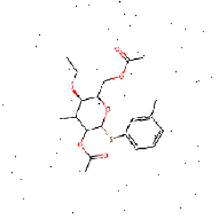 CCO[C@H]1C(COC(C)=O)O[C@H](Sc2cccc(C)c2)C(OC(C)=O)C1C